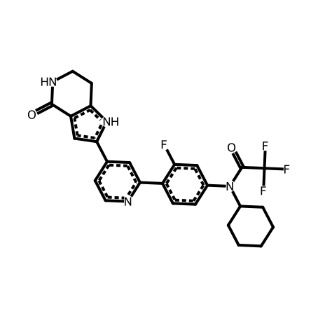 O=C1NCCc2[nH]c(-c3ccnc(-c4ccc(N(C(=O)C(F)(F)F)C5CCCCC5)cc4F)c3)cc21